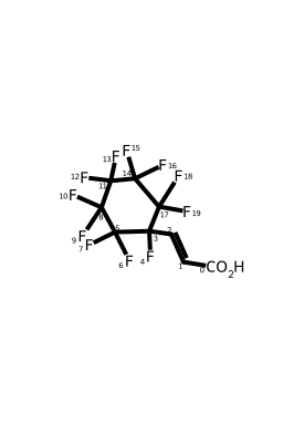 O=C(O)C=CC1(F)C(F)(F)C(F)(F)C(F)(F)C(F)(F)C1(F)F